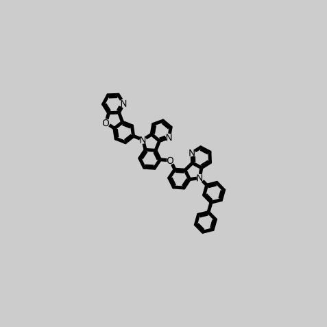 c1ccc(-c2cccc(-n3c4cccnc4c4c(Oc5cccc6c5c5ncccc5n6-c5ccc6oc7cccnc7c6c5)cccc43)c2)cc1